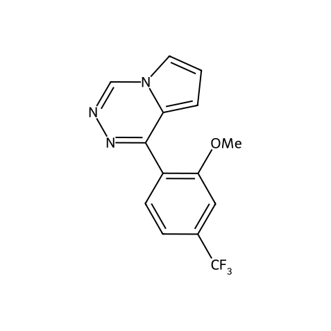 COc1cc(C(F)(F)F)ccc1-c1nncn2cccc12